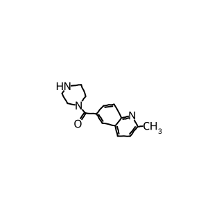 Cc1ccc2cc(C(=O)N3CCNCC3)ccc2n1